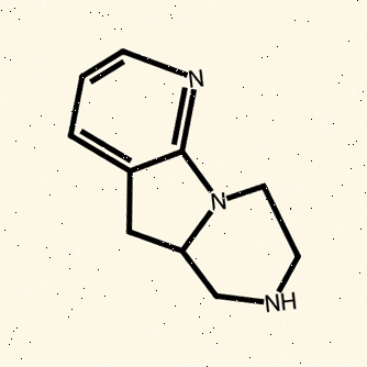 c1cnc2c(c1)CC1CNCCN21